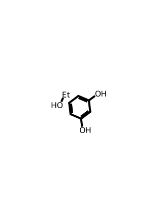 CCO.Oc1cccc(O)c1